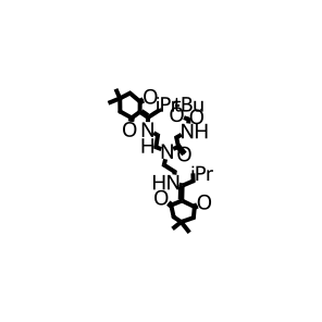 CC(C)CC(NCCN(CCNC(CC(C)C)=C1C(=O)CC(C)(C)CC1=O)C(=O)CNC(=O)OC(C)(C)C)=C1C(=O)CC(C)(C)CC1=O